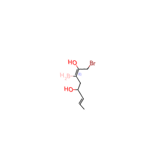 B/C(CC(O)C=CC)=C(\O)CBr